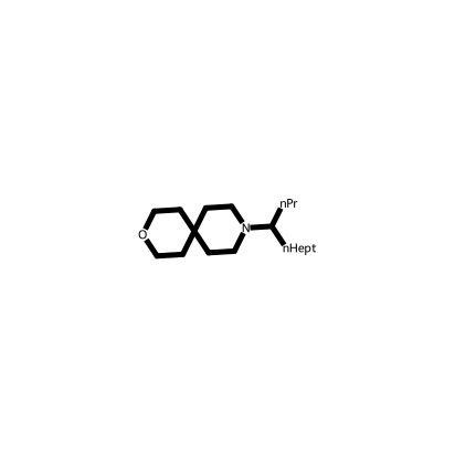 CCCCCCCC(CCC)N1CCC2(CCOCC2)CC1